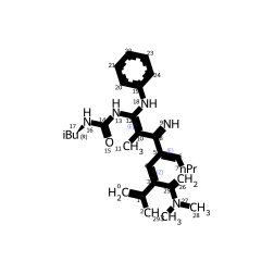 C=C(C)/C(=C/C(=C\CCC)C(=N)/C(C)=C(/NC(=O)N[C@H](C)CC)Nc1ccccc1)C(=C)N(C)C